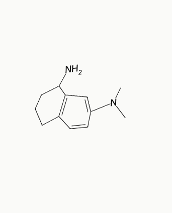 CN(C)c1ccc2c(c1)C(N)CCC2